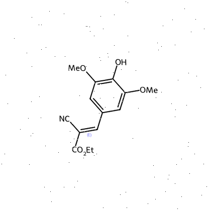 CCOC(=O)/C(C#N)=C/c1cc(OC)c(O)c(OC)c1